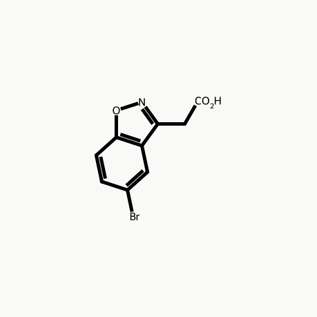 O=C(O)Cc1noc2ccc(Br)cc12